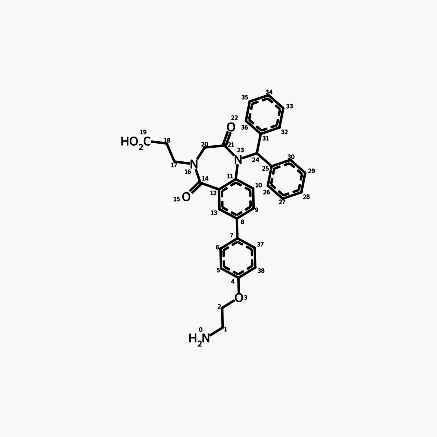 NCCOc1ccc(-c2ccc3c(c2)C(=O)N(CCC(=O)O)CC(=O)N3C(c2ccccc2)c2ccccc2)cc1